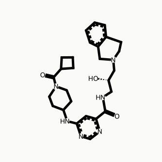 O=C(NC[C@H](O)CN1CCc2ccccc2C1)c1cc(NC2CCN(C(=O)C3CCC3)CC2)ncn1